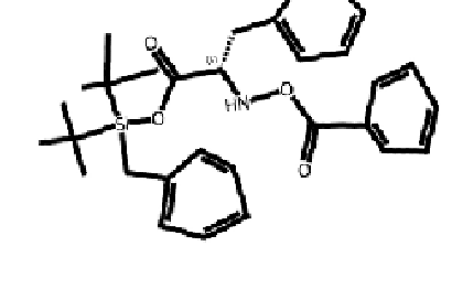 CC(C)(C)[Si](Cc1ccccc1)(OC(=O)[C@H](Cc1ccccc1)NOC(=O)c1ccccc1)C(C)(C)C